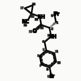 CC(C)C[C@H](NCc1ccc(Br)cc1)C(=O)NC1(C#N)CC1